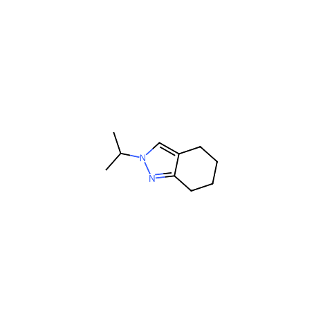 CC(C)n1cc2c(n1)CCCC2